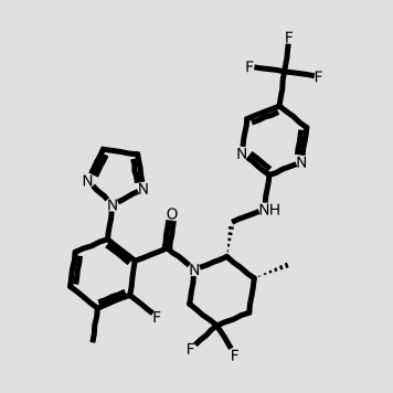 Cc1ccc(-n2nccn2)c(C(=O)N2CC(F)(F)C[C@@H](C)[C@H]2CNc2ncc(C(F)(F)F)cn2)c1F